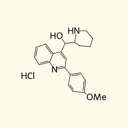 COc1ccc(-c2cc(C(O)C3CCCCN3)c3ccccc3n2)cc1.Cl